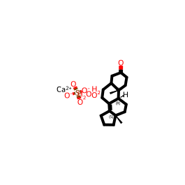 C[C@@]12CCCC1=C1CCC3CC(=O)CC[C@]3(C)[C@H]1CC2.O.O.O=S(=O)([O-])[O-].[Ca+2]